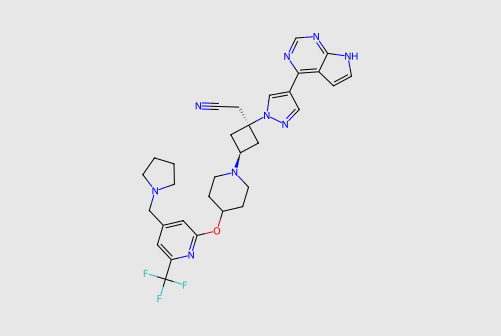 N#CC[C@]1(n2cc(-c3ncnc4[nH]ccc34)cn2)C[C@@H](N2CCC(Oc3cc(CN4CCCC4)cc(C(F)(F)F)n3)CC2)C1